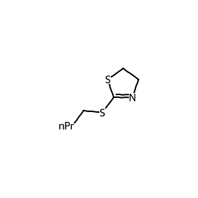 CCCCSC1=NCCS1